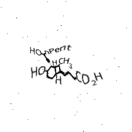 CCCCCC(O)C#C[C@@H]1[C@H]2C(C)C(=CCCC(=O)O)[C@@H]2CC[C@H]1O